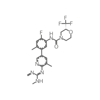 C=N/C(=N\c1ncc(-c2cc(NC(=O)N3CCO[C@@H](C(F)(F)F)C3)c(F)cc2C)cc1C)NC